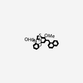 COc1c(Cc2cccc3ccccc23)cc(=O)n2c1SC[C@@H]2N(C=O)c1ccccc1